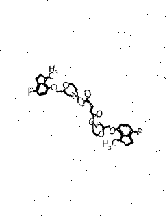 CC1CCc2c(F)ccc(OCC3CN(OC(=O)/C=C/C(=O)ON4CCOC(COc5ccc(F)c6c5C(C)CC6)C4)CCO3)c21